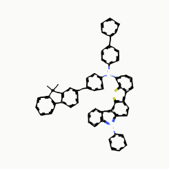 CC1(C)c2ccccc2-c2ccc(-c3ccc(N(c4ccc(-c5ccccc5)cc4)c4cccc5c4sc4c5ccc5c4c4ccccc4n5-c4ccccc4)cc3)cc21